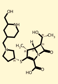 C[C@@H](O)[C@H]1C(=O)N2C(C(=O)O)=C(S[C@@H]3CCN(CC4CCNC(CO)C4)C3)[C@H](C)[C@H]12